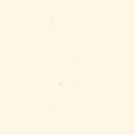 CC(CS(=O)(=O)CC(F)(F)F)NC(=O)c1ccc(/C(F)=C/C(c2ccc(Cl)c(Br)c2)C(F)(F)F)cc1C(F)(F)F